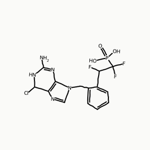 NC1=Nc2c(ncn2Cc2ccccc2C(F)C(F)(F)P(=O)(O)O)C(Cl)N1